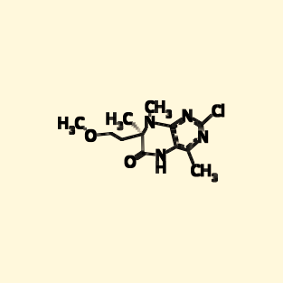 COCC[C@]1(C)C(=O)Nc2c(C)nc(Cl)nc2N1C